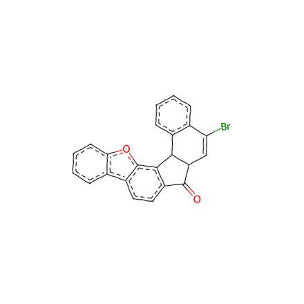 O=C1c2ccc3c(oc4ccccc43)c2C2c3ccccc3C(Br)=CC12